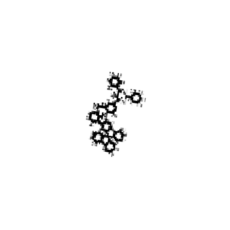 N#Cc1cc(-c2nc(-c3ccccc3)nc(-c3ccccc3)n2)ccc1-n1c2ccccc2c2cc3c(cc21)-c1ccccc1C31c2ccccc2-c2ccccc21